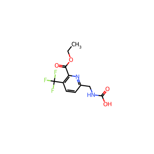 CCOC(=O)c1nc(CNC(=O)O)ccc1C(F)(F)F